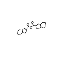 O=C(OC(=O)c1ccc2c(c1)CCCC2)c1ccc2c(c1)CCCC2